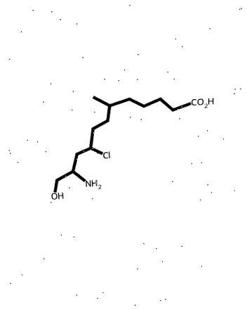 CC(CCCCC(=O)O)CCC(Cl)CC(N)CO